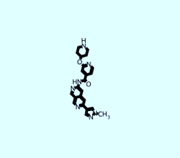 Cn1cc(-c2cc3cc(NC(=O)c4ccnc(OC5CCNCC5)c4)ncc3cn2)cn1